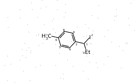 CCC(I)c1ccc(C)cc1